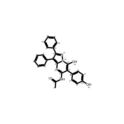 CC(=O)Nc1nc2c(-c3ccccc3)c(-c3ccccc3)nn2c(O)c1-c1ccc(O)cc1